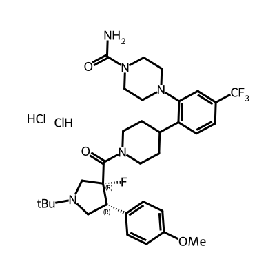 COc1ccc([C@@H]2CN(C(C)(C)C)C[C@@]2(F)C(=O)N2CCC(c3ccc(C(F)(F)F)cc3N3CCN(C(N)=O)CC3)CC2)cc1.Cl.Cl